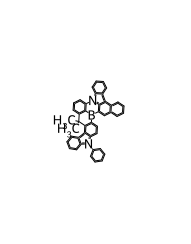 CC1(C)c2cccc3c2B(c2ccc4c(c21)c1ccccc1n4-c1ccccc1)c1cc2ccccc2c2c4ccccc4n-3c12